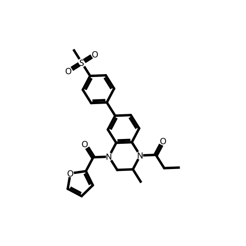 CCC(=O)N1c2ccc(-c3ccc(S(C)(=O)=O)cc3)cc2N(C(=O)c2ccco2)CC1C